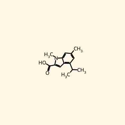 Cc1cc(C(C)C)c2cc(C(=O)O)n(C)c2c1